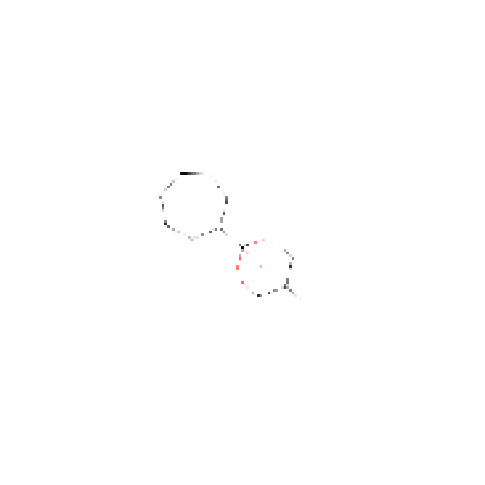 CC(C)(C)C12COC(C3CCCCCC3)(OC1)OC2